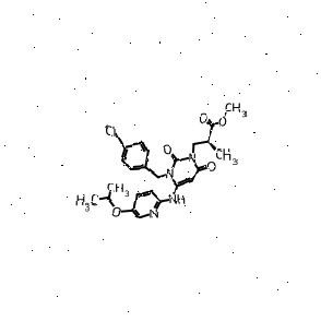 COC(=O)[C@@H](C)Cn1c(=O)cc(Nc2ccc(OC(C)C)cn2)n(Cc2ccc(Cl)cc2)c1=O